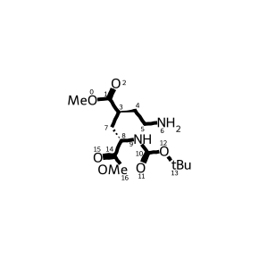 COC(=O)[C@@H](CCN)C[C@H](NC(=O)OC(C)(C)C)C(=O)OC